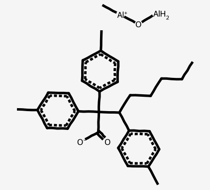 CCCCCC(c1ccc(C)cc1)C(C(=O)[O-])(c1ccc(C)cc1)c1ccc(C)cc1.[CH3][Al+][O][AlH2]